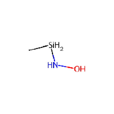 C[SiH2]NO